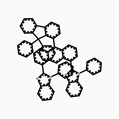 c1ccc(-n2c(-c3cccc4c(-c5cccc6c5C(c5ccccc5)(c5ccccc5)c5ccccc5-6)c5cccc(-c6nc7ccccc7n6-c6ccccc6)c5cc34)nc3ccccc32)cc1